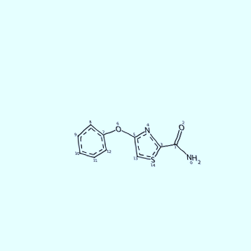 NC(=O)c1nc(Oc2ccccc2)cs1